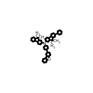 CC1(C)c2ccccc2-c2ccc(N(c3ccc(-c4ccc5oc6ccccc6c5c4)cc3)c3ccc4c(c3)C(C)(C)c3cc(-c5ccccc5)ccc3-4)cc21